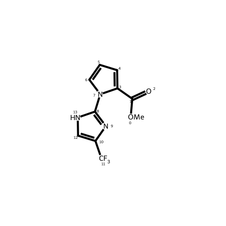 COC(=O)c1cccn1-c1nc(C(F)(F)F)c[nH]1